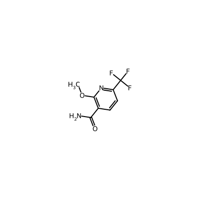 COc1nc(C(F)(F)F)ccc1C(N)=O